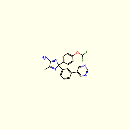 CC1=NC(c2ccc(OC(F)F)cc2)(c2cccc(-c3cncnc3)c2)N=C1N